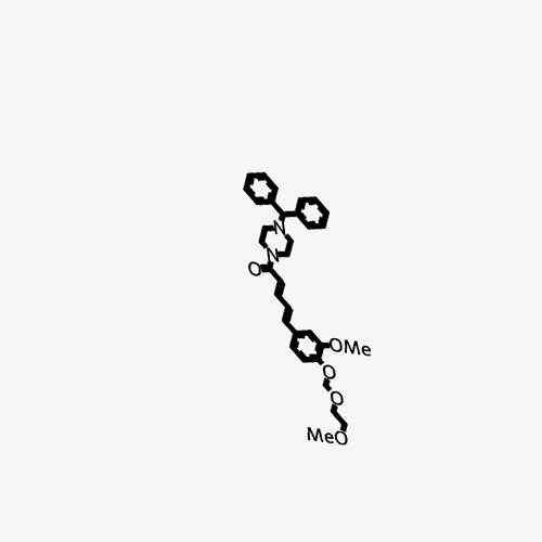 COCCOCOc1ccc(C=CC=CC(=O)N2CCN(C(c3ccccc3)c3ccccc3)CC2)cc1OC